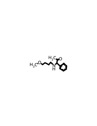 COCCCCNC(C(C)=O)c1ccccc1